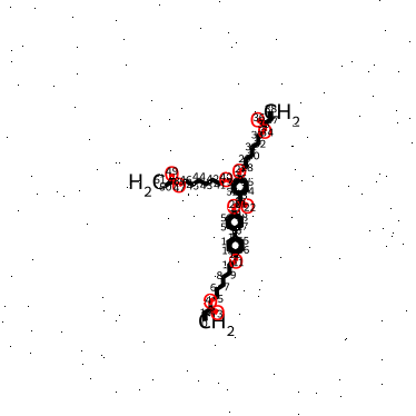 C=CC(=O)OCCCCCCOc1ccc(-c2ccc(OC(=O)c3ccc(OCCCCCCOC(=O)C=C)c(OCCCCCCOC(=O)C=C)c3)cc2)cc1